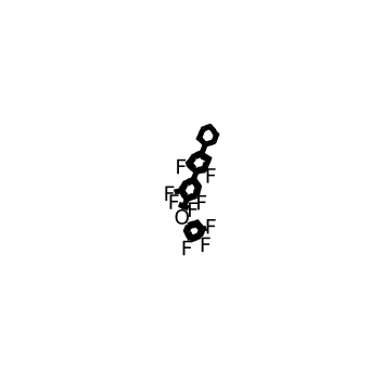 Fc1cc(OC(F)(F)c2c(F)cc(-c3c(F)cc(C4CCCCC4)cc3F)cc2F)cc(F)c1F